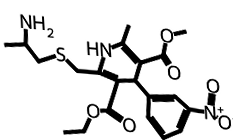 CCOC(=O)C1=C(CSCC(C)N)NC(C)=C(C(=O)OC)C1c1cccc([N+](=O)[O-])c1